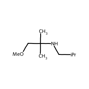 COCC(C)(C)NCC(C)C